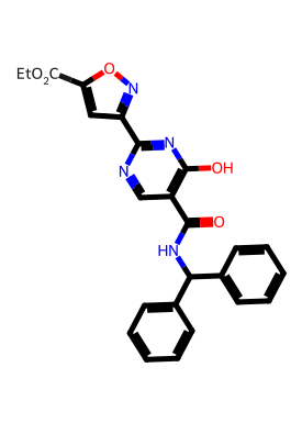 CCOC(=O)c1cc(-c2ncc(C(=O)NC(c3ccccc3)c3ccccc3)c(O)n2)no1